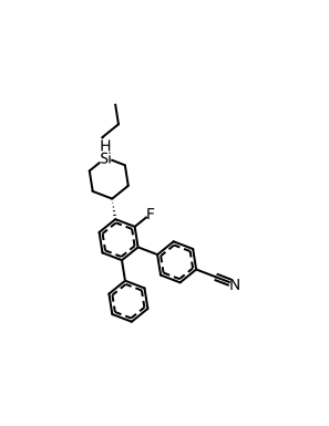 CCC[Si@H]1CC[C@H](c2ccc(-c3ccccc3)c(-c3ccc(C#N)cc3)c2F)CC1